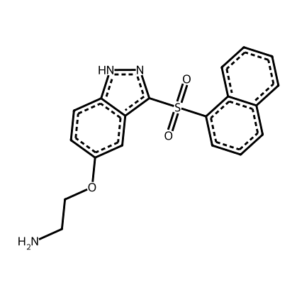 NCCOc1ccc2[nH]nc(S(=O)(=O)c3cccc4ccccc34)c2c1